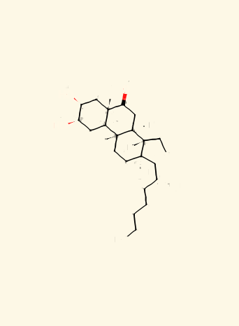 CCCCC[C@@H](C)[C@H]1CC[C@H]2[C@@H]3CC(=O)[C@H]4C[C@H](O)[C@H](O)C[C@]4(C)[C@H]3CC[C@]12C